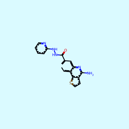 C=C(/C=c1/nc(N)c2ccsc2/c1=C/C)C(=O)NNc1ccccn1